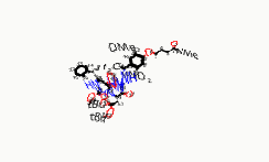 CNC(=O)CCCOc1cc([N+](=O)[O-])c(C(C)NNC(=O)[C@H](CC(=O)OC(C)(C)C)NC(=O)[C@@H](Cc2ccccc2)NC(=O)OC(C)(C)C)cc1OC